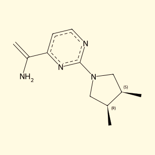 C=C(N)c1ccnc(N2C[C@@H](C)[C@@H](C)C2)n1